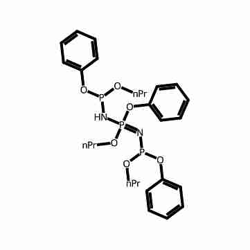 CCCOP(N=P(NP(OCCC)Oc1ccccc1)(OCCC)Oc1ccccc1)Oc1ccccc1